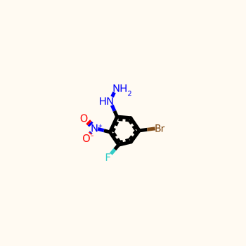 NNc1cc(Br)cc(F)c1[N+](=O)[O-]